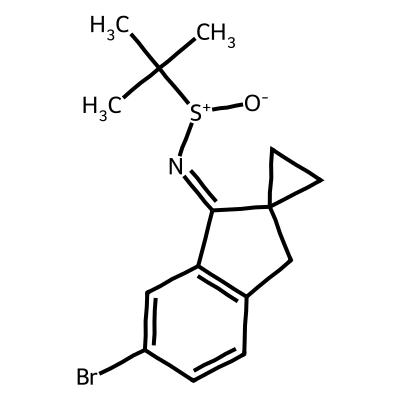 CC(C)(C)[S+]([O-])N=C1c2cc(Br)ccc2CC12CC2